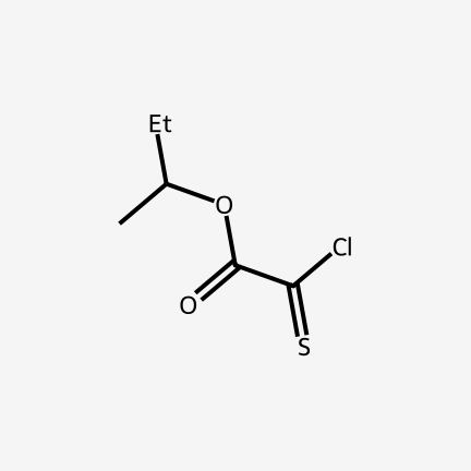 CCC(C)OC(=O)C(=S)Cl